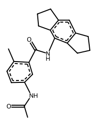 CC(=O)Nc1ccc(C)c(C(=O)Nc2c3c(cc4c2CCC4)CCC3)c1